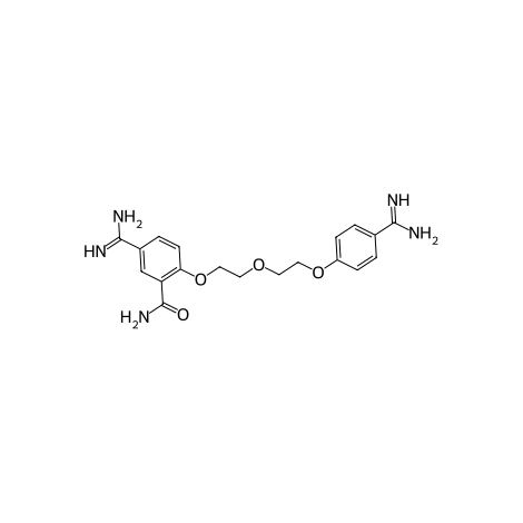 N=C(N)c1ccc(OCCOCCOc2ccc(C(=N)N)cc2C(N)=O)cc1